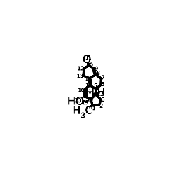 CC1CC[C@H]2[C@@H]3CCC4=CC(=O)CCC4=C3C=C[C@]12CO